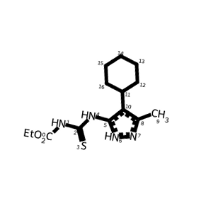 CCOC(=O)NC(=S)Nc1[nH]nc(C)c1C1CCCCC1